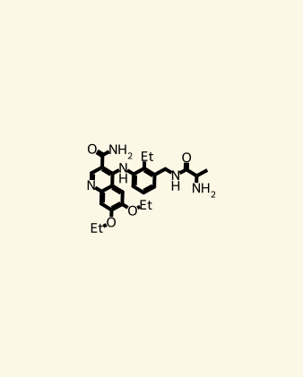 CCOc1cc2ncc(C(N)=O)c(Nc3cccc(CNC(=O)C(C)N)c3CC)c2cc1OCC